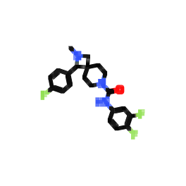 CN1CC2(CCN(C(=O)Nc3ccc(F)c(F)c3)CC2)C1c1ccc(F)cc1